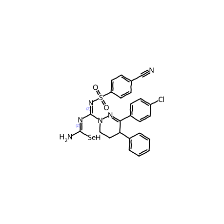 N#Cc1ccc(S(=O)(=O)/N=C(/N=C(/N)[SeH])N2CCC(c3ccccc3)C(c3ccc(Cl)cc3)=N2)cc1